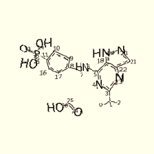 CC(C)c1nc(NCc2ccc(P(=O)(O)O)cc2)c2[nH]ncc2n1.O=CO